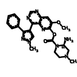 COc1cc2ncnc(-c3cn(C)nc3-c3ccccc3)c2nc1OC(=O)N1CCN(C)C[C@@H]1N